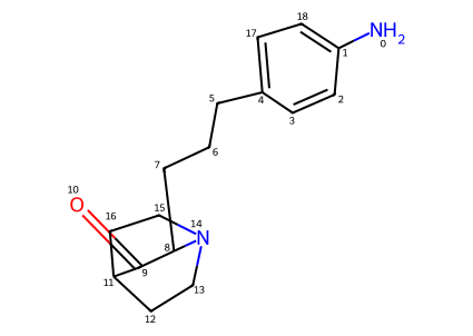 Nc1ccc(CCCC2C(=O)C3CCN2CC3)cc1